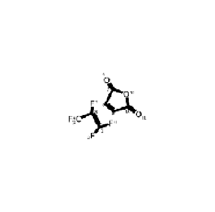 FC(F)=C(F)C(F)(F)F.O=C1C=CC(=O)O1